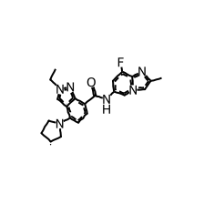 CCn1cc2c(N3C[CH]CC3)ccc(C(=O)Nc3cc(F)c4nc(C)cn4c3)c2n1